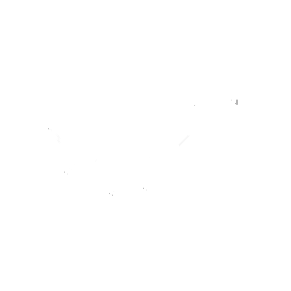 N#Cc1cc2c(cn1)[nH]c1ncc(-c3ccc(C4(F)CCNCC4)cc3)cc12